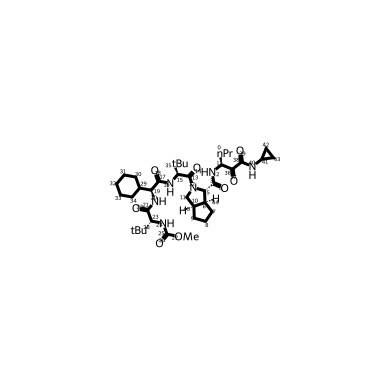 CCC[C@H](NC(=O)[C@@H]1[C@H]2CCC[C@H]2CN1C(=O)[C@@H](NC(=O)[C@@H](NC(=O)[C@H](NC(=O)OC)C(C)(C)C)C1CCCCC1)C(C)(C)C)C(=O)C(=O)NC1CC1